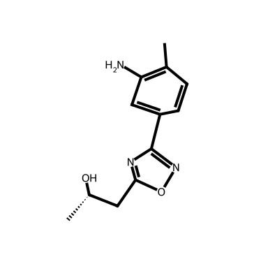 Cc1ccc(-c2noc(C[C@H](C)O)n2)cc1N